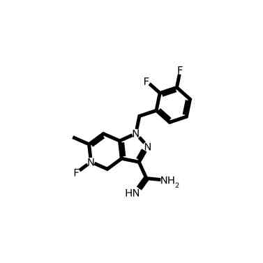 CC1=Cc2c(c(C(=N)N)nn2Cc2cccc(F)c2F)CN1F